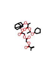 C=C(C)C(=O)OCC(=O)OCC(=O)OC12CC3CC(C1)CC(OC(C)C(=O)OC(C)OC1CCCCC1)(C3)C2